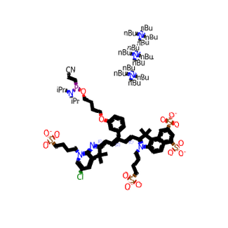 CC(C)N(C(C)C)P(CCC#N)OCCCCOc1cccc(C(=C\C=C2\N=C3C(=CC(Cl)=CN3CCCCS(=O)(=O)[O-])C2(C)C)/C=C/C2=[N+](CCCCS(=O)(=O)[O-])c3ccc4c(S(=O)(=O)[O-])cc(S(=O)(=O)[O-])cc4c3C2(C)C)c1.CCCC[N+](CCCC)(CCCC)CCCC.CCCC[N+](CCCC)(CCCC)CCCC.CCCC[N+](CCCC)(CCCC)CCCC